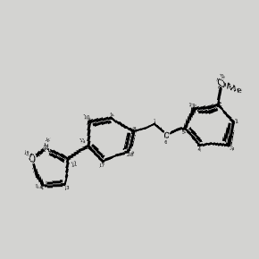 COc1cccc(OCc2ccc(-c3ccon3)cc2)c1